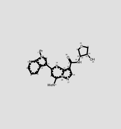 CNc1cc(-c2cn(C(C)C)c3ncccc23)nc2c(C(=O)N[C@H]3COC[C@H]3O)cnn12